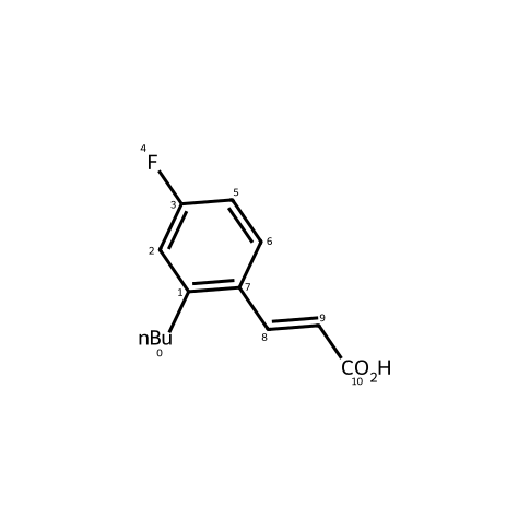 CCCCc1cc(F)ccc1/C=C/C(=O)O